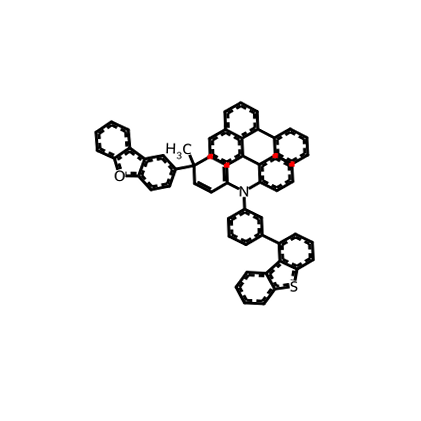 CC1(c2ccc3oc4ccccc4c3c2)C=CC(N(c2cccc(-c3cccc4sc5ccccc5c34)c2)c2ccccc2-c2cccc3cccc(-c4ccccc4)c23)=CC1